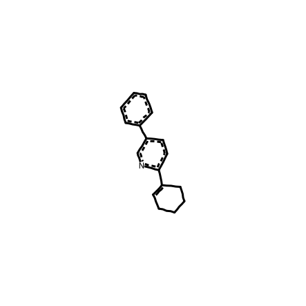 C1=C(c2ccc(-c3ccccc3)cn2)CCCC1